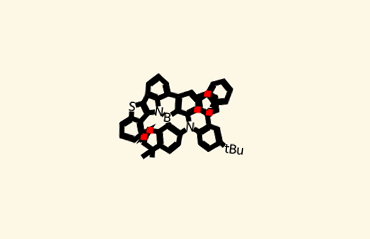 CC(C)(C)c1ccc(N2c3ccc4c(c3B3c5c(cc6c(sc7ccccc76)c52)-c2cccc5c6sc7ccccc7c6n3c25)-c2ccccc2C4(C)C)c(-c2ccccc2)c1